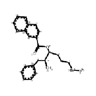 CCCNCCCC(OC(=O)c1ccc2ccccc2c1)C(C)Cc1ccccc1